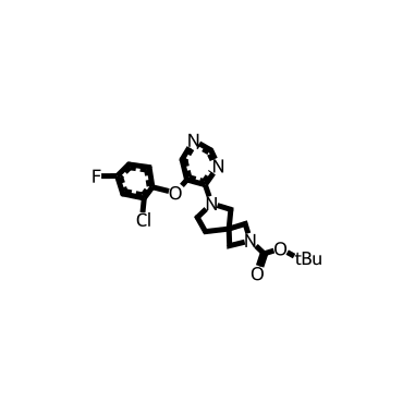 CC(C)(C)OC(=O)N1CC2(CCN(c3ncncc3Oc3ccc(F)cc3Cl)C2)C1